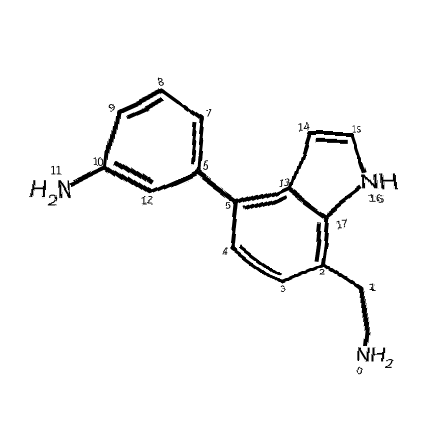 NCc1ccc(-c2cccc(N)c2)c2cc[nH]c12